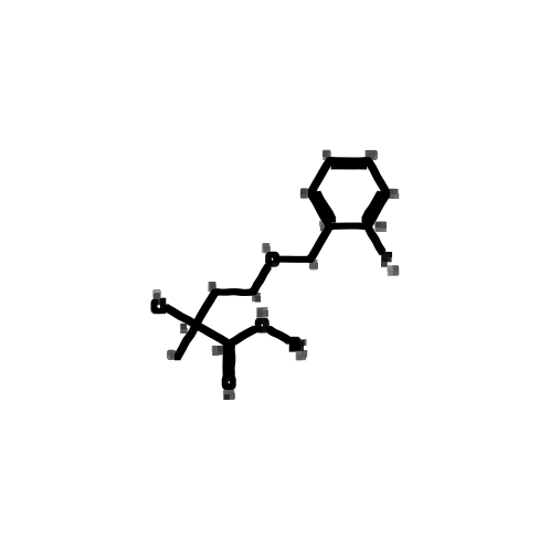 CC(Cl)(CCOCc1ccccc1F)C(=O)OBr